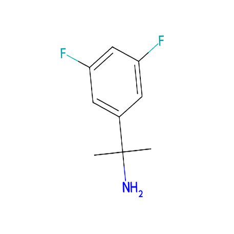 CC(C)(N)c1cc(F)cc(F)c1